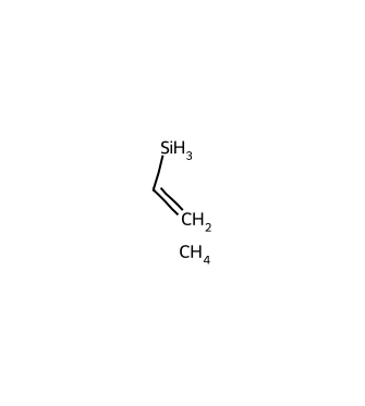 C.C=C[SiH3]